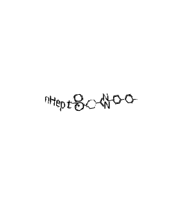 [CH2+][CH-]CCCCCC(=O)OC1CCC(c2cnc(-c3ccc(-c4ccc(C)cc4)cc3)nc2)CC1